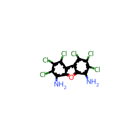 Nc1c(Cl)c(Cl)c(Cl)c2c1oc1c(N)c(Cl)c(Cl)c(Cl)c12